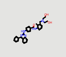 Cc1c(CN(CCO)CCO)cccc1NC(=O)c1ccc(Nc2nc(-c3ccccc3)c3ccccc3n2)cc1